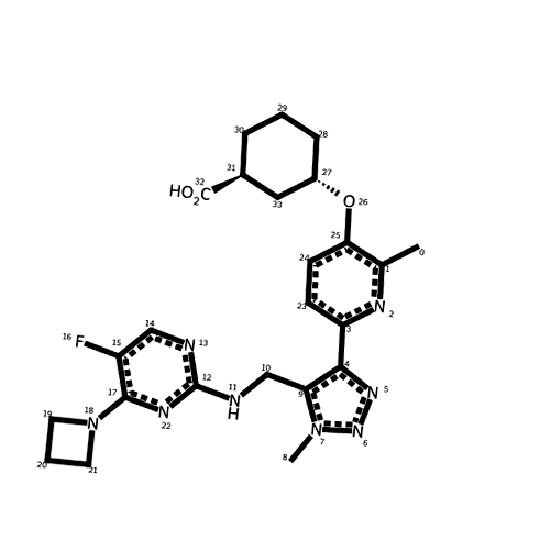 Cc1nc(-c2nnn(C)c2CNc2ncc(F)c(N3CCC3)n2)ccc1O[C@H]1CCC[C@H](C(=O)O)C1